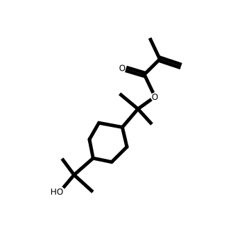 C=C(C)C(=O)OC(C)(C)C1CCC(C(C)(C)O)CC1